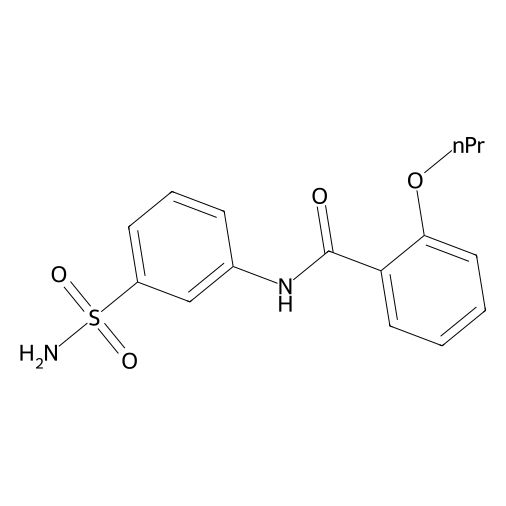 CCCOc1ccccc1C(=O)Nc1cccc(S(N)(=O)=O)c1